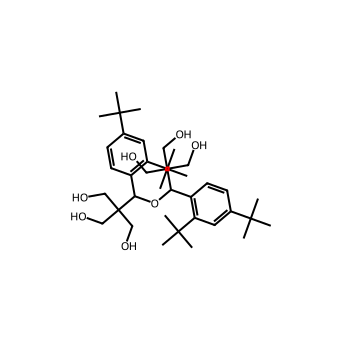 CC(C)(C)c1ccc(C(OC(c2ccc(C(C)(C)C)cc2C(C)(C)C)C(CO)(CO)CO)C(CO)(CO)CO)c(C(C)(C)C)c1